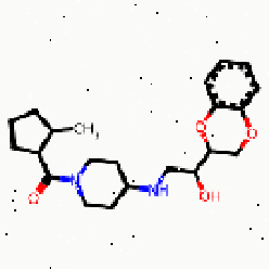 CC1CCCC1C(=O)N1CCC(NCC(O)C2COc3ccccc3O2)CC1